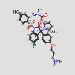 COc1cc(OCCCN(C)C)ccc1C1(N2CCC[C@@H]2OC(=O)N(C)C)C(=O)N(S(=O)(=O)c2ccc(C#N)cc2)c2ccc(Cl)cc21